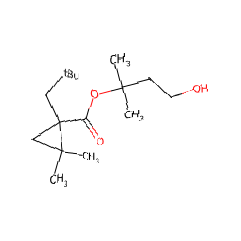 CC(C)(C)CC1(C(=O)OC(C)(C)CCO)CC1(C)C